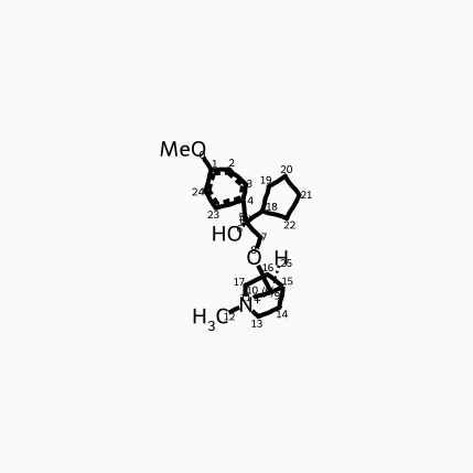 COc1ccc([C@@](O)(CO[C@@H]2C[N+]3(C)CCC2CC3)C2CCCC2)cc1